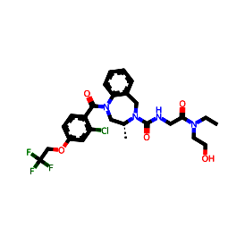 CCN(CCO)C(=O)CNC(=O)N1Cc2ccccc2N(C(=O)c2ccc(OCC(F)(F)F)cc2Cl)C[C@H]1C